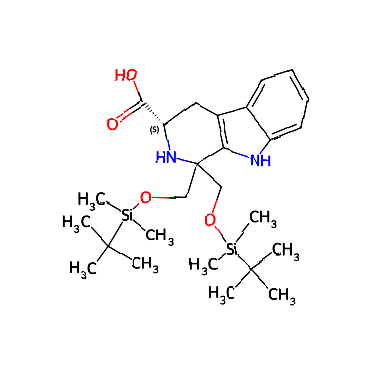 CC(C)(C)[Si](C)(C)OCC1(CO[Si](C)(C)C(C)(C)C)N[C@H](C(=O)O)Cc2c1[nH]c1ccccc21